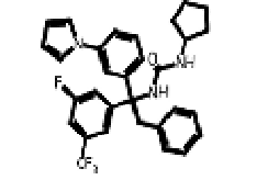 O=C(NC1CCCC1)NC(Cc1ccccc1)(c1cccc(-n2cccc2)c1)c1cc(F)cc(C(F)(F)F)c1